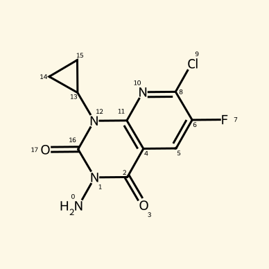 Nn1c(=O)c2cc(F)c(Cl)nc2n(C2CC2)c1=O